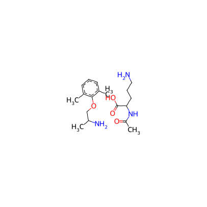 CC(=O)NC(CCCN)C(=O)O.Cc1cccc(C)c1OCC(C)N